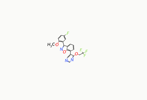 COc1ccc(F)cc1-c1noc2c(-c3cncnc3OCC(F)(F)F)cccc12